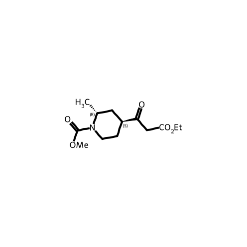 CCOC(=O)CC(=O)[C@H]1CCN(C(=O)OC)[C@H](C)C1